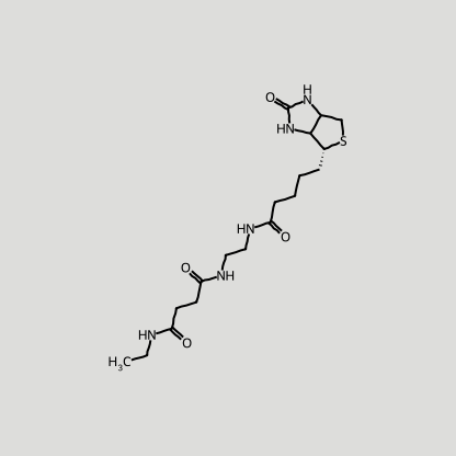 CCNC(=O)CCC(=O)NCCNC(=O)CCCC[C@H]1SCC2NC(=O)NC21